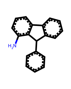 Nc1cccc2c1C(c1ccccc1)c1ccccc1-2